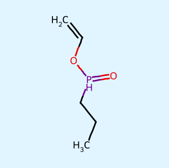 C=CO[PH](=O)CCC